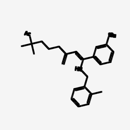 C=C(/C=C(\NCc1ccccc1C)c1cccc(C(C)(C)C)c1)CCCC(C)(C)C(C)=O